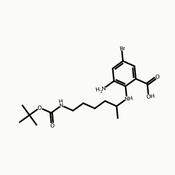 CC(CCCCNC(=O)OC(C)(C)C)Nc1c(N)cc(Br)cc1C(=O)O